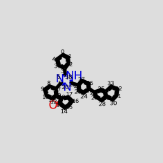 c1ccc(C2N=C(c3cccc4oc5ccccc5c34)N=C(c3ccc(-c4ccc5ccccc5c4)cc3)N2)cc1